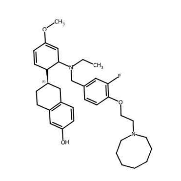 CCN(Cc1ccc(OCCN2CCCCCCC2)c(F)c1)C1C=C(OC)C=CC1[C@@H]1CCc2cc(O)ccc2C1